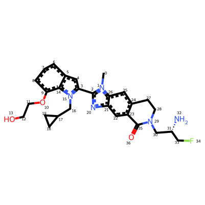 Cn1c(-c2cc3cccc(OCCO)c3n2CC2CC2)nc2cc3c(cc21)CCN(C[C@H](N)CF)C3=O